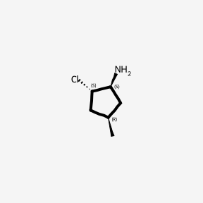 C[C@@H]1C[C@H](N)[C@@H](Cl)C1